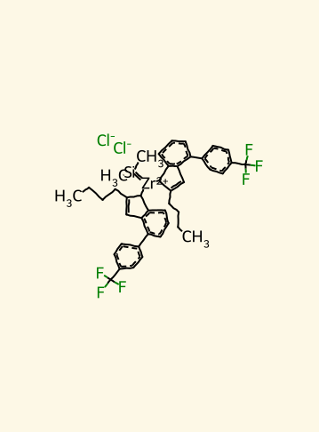 CCCCC1=Cc2c(-c3ccc(C(F)(F)F)cc3)cccc2[CH]1[Zr+2]([CH]1C(CCCC)=Cc2c(-c3ccc(C(F)(F)F)cc3)cccc21)=[Si](C)C.[Cl-].[Cl-]